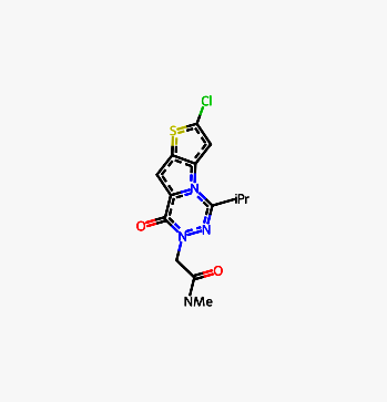 CNC(=O)Cn1nc(C(C)C)n2c(cc3sc(Cl)cc32)c1=O